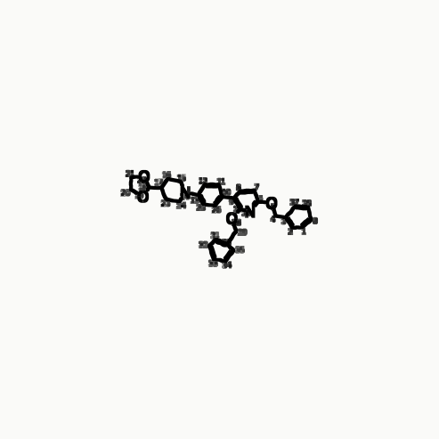 c1ccc(COc2ccc(-c3ccc(N4CCC(C5OCCO5)CC4)cc3)c(OCc3ccccc3)n2)cc1